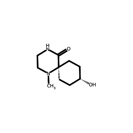 CN1CCNC(=O)[C@]12CC[C@@H](O)CC2